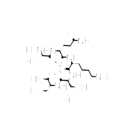 C[C@H](N)C(=O)N[C@@H](CCC(N)=O)C(=O)N[C@@H](CCCCN)C(=O)N[C@H](C(=O)N[C@@H](CO)C(=O)O)[C@@H](C)O